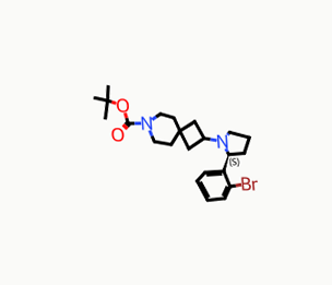 CC(C)(C)OC(=O)N1CCC2(CC1)CC(N1CCC[C@H]1c1ccccc1Br)C2